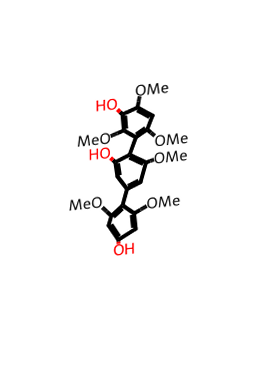 COc1cc(OC)c(-c2c(O)cc(-c3c(OC)cc(O)cc3OC)cc2OC)c(OC)c1O